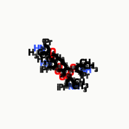 CC(C)C1CC(OC(=O)CCCCCC(C(=O)OC2CC(C(C)C)NC(C)(C)C2)C(C(=O)OC2CC(C(C)C)NC(C)(C)C2)C(=O)OC2CC(C(C)C)NC(C)(C)C2)CC(C)(C)N1